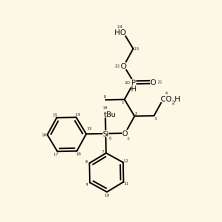 CC(C(CC(=O)O)O[Si](c1ccccc1)(c1ccccc1)C(C)(C)C)[PH](=O)OCO